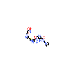 Cc1ncc(C(=O)NCCN2CCCC2(C)C)cc1NC(=O)c1cnn2cc(-c3cnn(Cc4cc(O)no4)c3)sc12